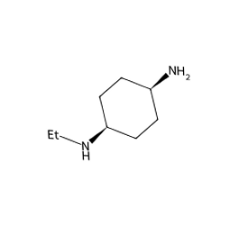 CCN[C@H]1CC[C@@H](N)CC1